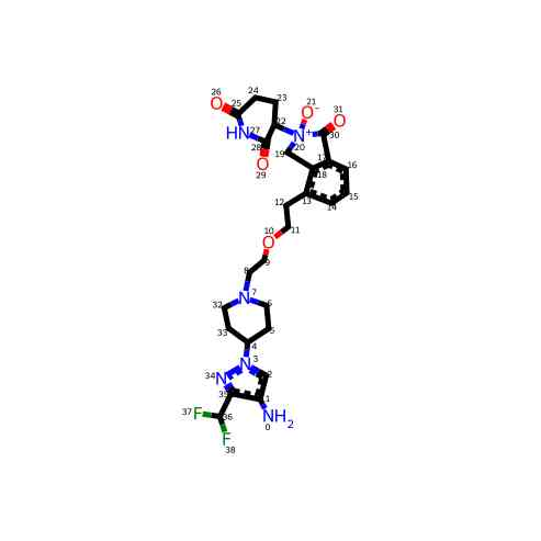 Nc1cn(C2CCN(CCOCCc3cccc4c3C[N+]([O-])(C3CCC(=O)NC3=O)C4=O)CC2)nc1C(F)F